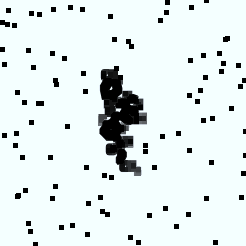 CCC[S+]([O-])Nc1ccc(F)c(C(=O)c2c[nH]c3ncnc(Nc4ccc(C)cc4)c23)c1F